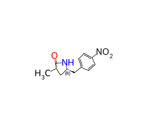 CC1C[C@H](Cc2ccc([N+](=O)[O-])cc2)NC1=O